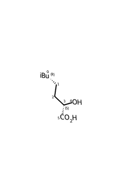 CC[C@@H](C)CC[C@H](O)C(=O)O